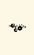 N#Cc1ccc(N2CCC[C@@H]2C(=O)n2cc(F)cn2)cc1C(F)(F)F